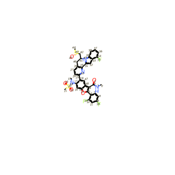 CNC(=O)c1c(-c2ccc(F)cc2F)oc2cc(N(C)S(C)(=O)=O)c(-c3ccc4c(n3)-c3cc5c(F)cccc5n3C(C[S+](C)[O-])C4)cc12